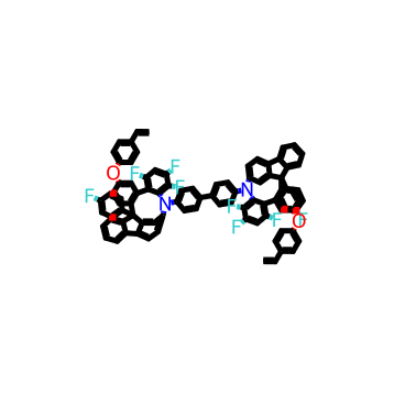 C=Cc1ccc(Oc2ccc3c(c2)-c2c(F)cc(F)c(F)c2N(c2ccc(-c4ccc(N5c6ccc7c(c6)C(c6ccc(F)cc6)(c6ccccc6-7)c6ccc(Oc7ccc(C=C)cc7)cc6-c6c(F)cc(F)c(F)c65)cc4)cc2)c2ccc4c(c2)C3(c2ccc(F)cc2)c2ccccc2-4)cc1